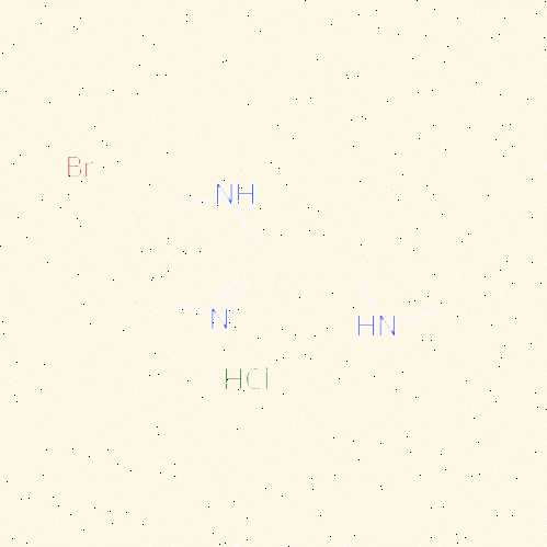 Brc1cnc([C@@H]2CCCN2)[nH]1.Cl